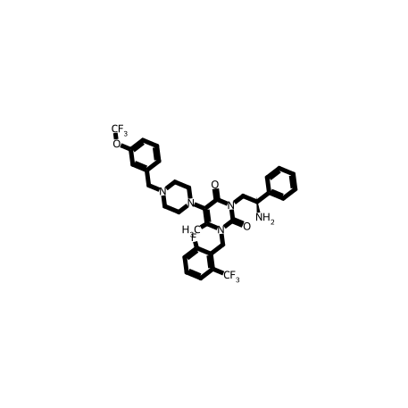 Cc1c(N2CCN(Cc3cccc(OC(F)(F)F)c3)CC2)c(=O)n(C[C@H](N)c2ccccc2)c(=O)n1Cc1c(F)cccc1C(F)(F)F